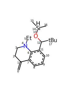 C=C1CCN(CC)c2c1cccc2C(O[SiH](C)C)C(C)(C)C